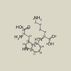 NCCCC[C@H](N)C(=O)O.N[C@@H](Cc1c[nH]c2ccccc12)C(=O)O